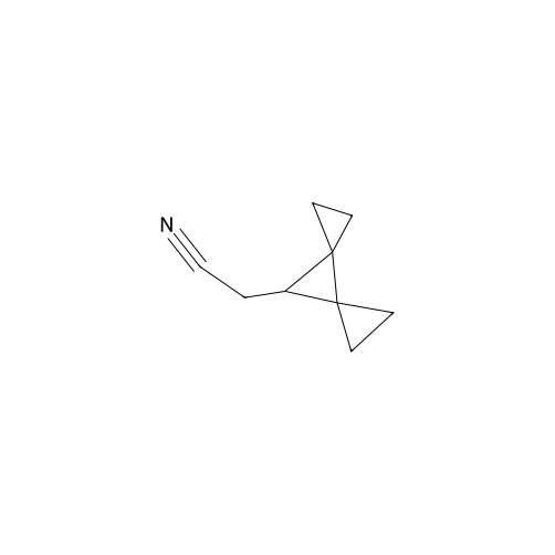 N#CCC1C2(CC2)C12CC2